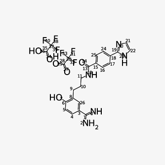 N=C(N)c1ccc(O)c(CCCNC(=O)c2ccc(-c3ncc[nH]3)cc2)c1.O=C(O)C(F)(F)F.O=C(O)C(F)(F)F